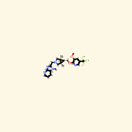 COc1cc(C(F)(F)F)cnc1OC[C@@H]1[C@H]2CN(Cc3nc4ncccc4n3C)C[C@@H]12